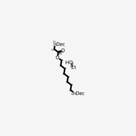 CCCCCCCCCCCCCCCCCCOC(=O)CCCCCCCCCCC.CCO